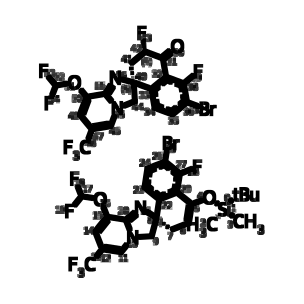 CC(C)(C)[Si](C)(C)OC1=CC[C@@]2(CN3C=C(C(F)(F)F)C=C(OC(F)F)C3=N2)c2ccc(Br)c(F)c21.O=C1c2c(ccc(Br)c2F)[C@@]2(C[C@H]1F)CN1C=C(C(F)(F)F)C=C(OC(F)F)C1=N2